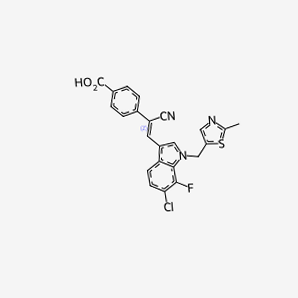 Cc1ncc(Cn2cc(/C=C(\C#N)c3ccc(C(=O)O)cc3)c3ccc(Cl)c(F)c32)s1